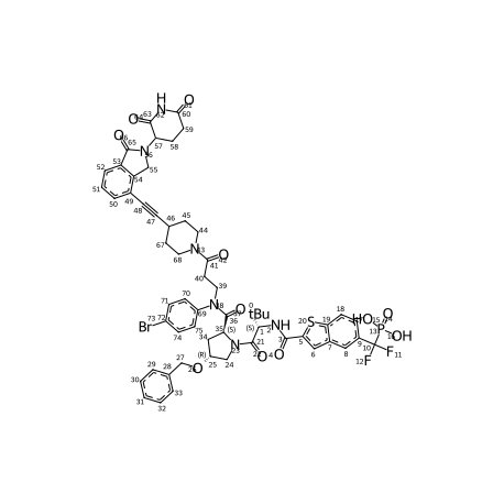 CC(C)(C)[C@H](NC(=O)c1cc2cc(C(F)(F)P(=O)(O)O)ccc2s1)C(=O)N1C[C@H](OCc2ccccc2)C[C@H]1C(=O)N(CCC(=O)N1CCC(C#Cc2cccc3c2CN(C2CCC(=O)NC2=O)C3=O)CC1)c1ccc(Br)cc1